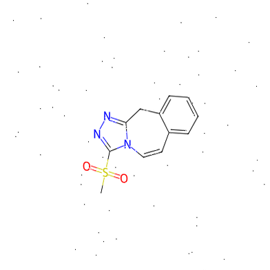 CS(=O)(=O)c1nnc2n1C=Cc1ccccc1C2